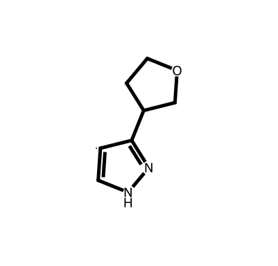 [c]1c[nH]nc1C1CCOC1